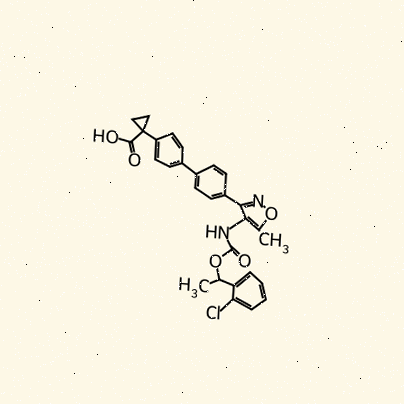 Cc1onc(-c2ccc(-c3ccc(C4(C(=O)O)CC4)cc3)cc2)c1NC(=O)OC(C)c1ccccc1Cl